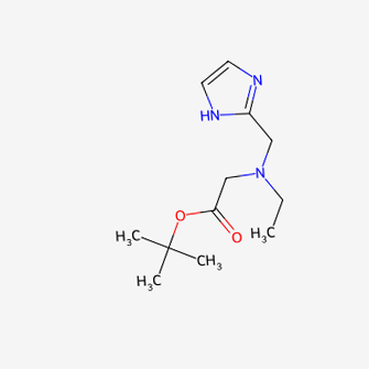 CCN(CC(=O)OC(C)(C)C)Cc1ncc[nH]1